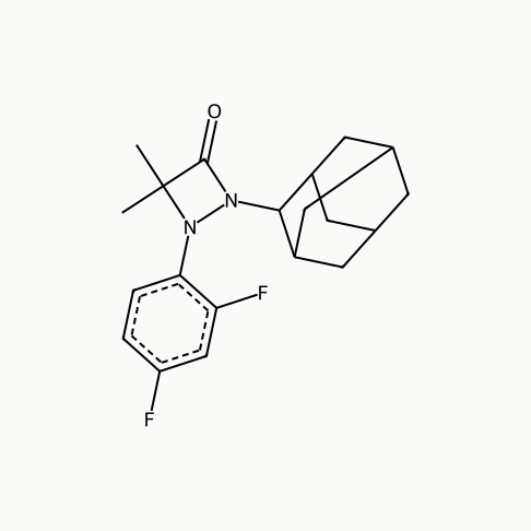 CC1(C)C(=O)N(C2C3CC4CC(C3)CC2C4)N1c1ccc(F)cc1F